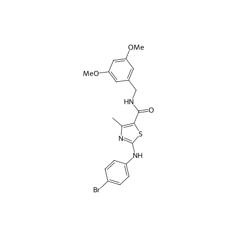 COc1cc(CNC(=O)c2sc(Nc3ccc(Br)cc3)nc2C)cc(OC)c1